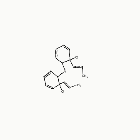 CC=CC1(Cl)C=CC=CC1SC1C=CC=CC1(Cl)C=CC